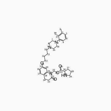 Cc1cccc(N2CCN(CCCCOc3ccc4c(c3)N(COC(=O)C3CCCN3)C(=O)CC4)CC2)c1C